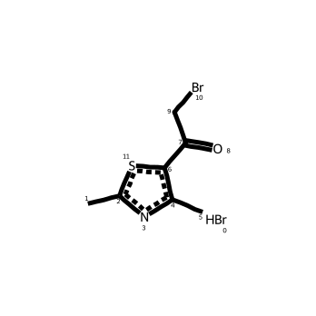 Br.Cc1nc(C)c(C(=O)CBr)s1